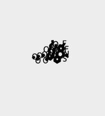 COC(=O)OCOc1c2n(ccc1=O)N([C@@H]1c3ccccc3-c3scnc3-c3c1ccc(F)c3F)[C@@H]1COC(C)CN1C2=O